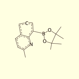 Cc1ccc2cccc(B3OC(C)(C)C(C)(C)O3)c2n1